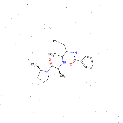 CC(C)CC(NC(=O)c1ccccc1)C(N[C@@H](C)C(=O)N1CCC[C@H]1C(=O)O)C(=O)O